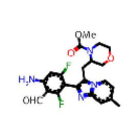 COC(=O)N1CCOCC1Cc1c(-c2c(F)cc(N)c(C=O)c2F)nc2cc(C)ccn12